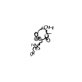 CO/N=C\C=C/C(=O)N/C=C/CC1CC(=O)OC(C)/C=C/C(O)/C(C)=C\Cc2cccc(O)c2C(=O)O1